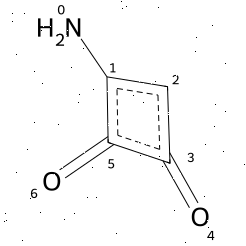 Nc1cc(=O)c1=O